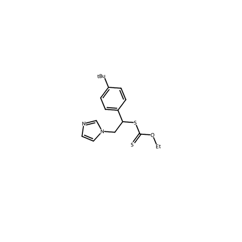 CCOC(=S)SC(Cn1ccnc1)c1ccc(C(C)(C)C)cc1